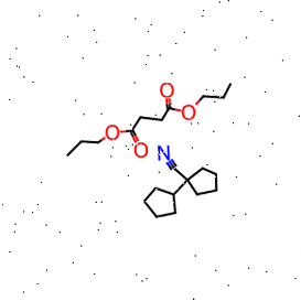 CCCOC(=O)CCC(=O)OCCC.N#CC1(C2CCCC2)CCCC1